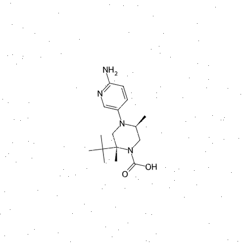 C[C@H]1CN(C(=O)O)[C@](C)(C(C)(C)C)CN1c1ccc(N)nc1